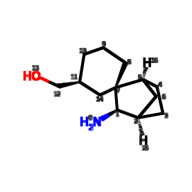 N[C@@H]1[C@@H]2CC[C@@H](C2)[C@]12CCC[C@H](CO)C2